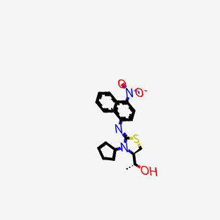 C[C@@H](O)[C@@H]1CSC(=Nc2ccc([N+](=O)[O-])c3ccccc23)N1C1CCCC1